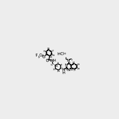 CN(C)c1nc(N[C@H]2CC[C@@H](CNC(=O)c3ccccc3OC(F)(F)F)CC2)nc2ccccc12.Cl